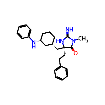 CN1C(=N)N[C@](CCc2ccccc2)(C[C@H]2CCC[C@@H](Nc3ccccc3)C2)C1=O